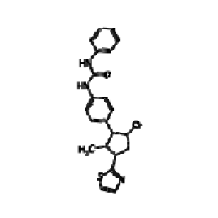 CC1C(c2nccs2)CC([O])C1c1ccc(NC(=O)Nc2ccccc2)cc1